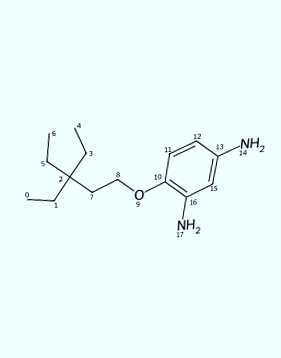 CCC(CC)(CC)CCOc1ccc(N)cc1N